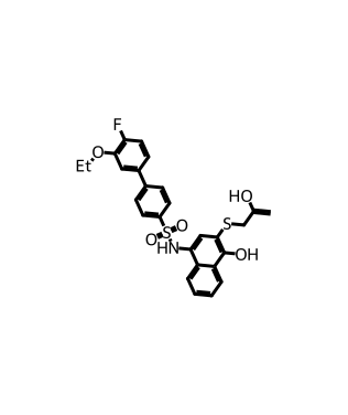 C=C(O)CSc1cc(NS(=O)(=O)c2ccc(-c3ccc(F)c(OCC)c3)cc2)c2ccccc2c1O